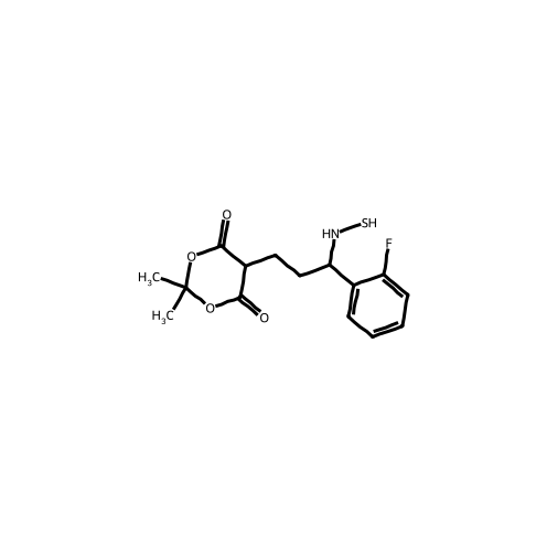 CC1(C)OC(=O)C(CCC(NS)c2ccccc2F)C(=O)O1